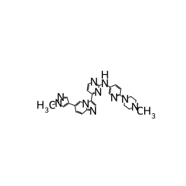 CN1CCN(c2ccc(Nc3nccc(-c4cnc5ccc(-c6cnn(C)c6)cn45)n3)cn2)CC1